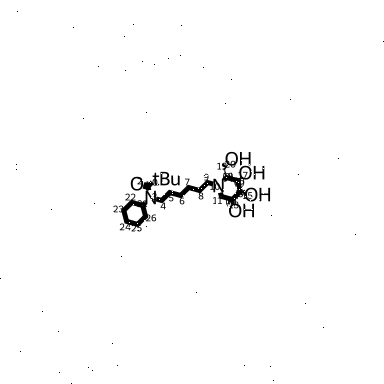 CC(C)(C)C(=O)N(CCCCCCN1C[C@@H](O)[C@H](O)[C@H](O)[C@H]1CO)C1CCCCC1